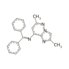 Cc1cn2nc(C)cc(N=C(c3ccccc3)c3ccccc3)c2n1